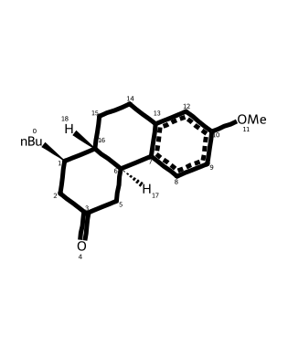 CCCC[C@@H]1CC(=O)C[C@@H]2c3ccc(OC)cc3CC[C@@H]12